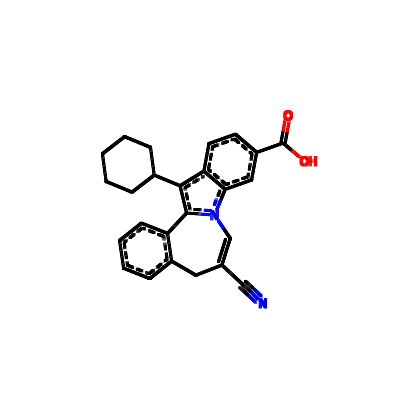 N#CC1=Cn2c(c(C3CCCCC3)c3ccc(C(=O)O)cc32)-c2ccccc2C1